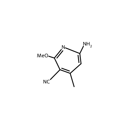 COc1nc(N)cc(C)c1C#N